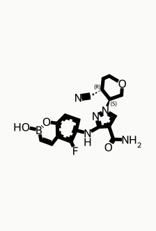 N#C[C@@H]1CCOC[C@H]1n1cc(C(N)=O)c(Nc2ccc3c(c2F)C=CB(O)O3)n1